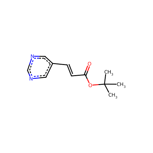 CC(C)(C)OC(=O)/C=C/c1cncnc1